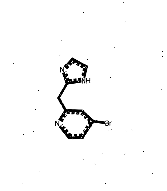 Brc1ccnc(Cc2ncc[nH]2)c1